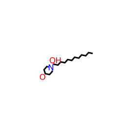 CCCCCCCCCCCC(O)N1CCC(=O)CC1